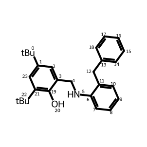 CC(C)(C)c1cc(CNc2ccccc2Cc2ccccc2)c(O)c(C(C)(C)C)c1